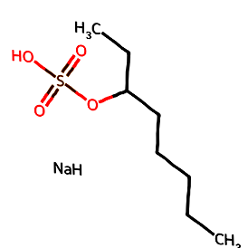 CCCCCC(CC)OS(=O)(=O)O.[NaH]